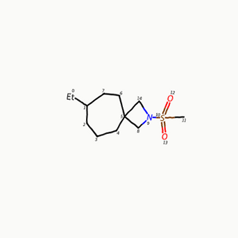 CCC1CCCC2(CC1)CN(S(C)(=O)=O)C2